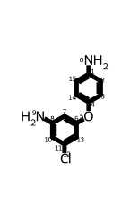 Nc1ccc(Oc2cc(N)cc(Cl)c2)cc1